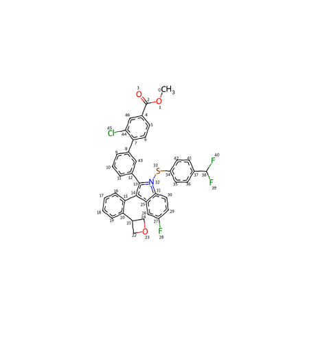 COC(=O)c1ccc(-c2cccc(-c3c(-c4ccccc4C4COC4)c4cc(F)ccc4n3Sc3ccc(C(F)F)cc3)c2)c(Cl)c1